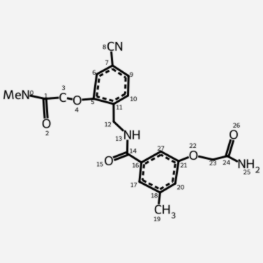 CNC(=O)COc1cc(C#N)ccc1CNC(=O)c1cc(C)cc(OCC(N)=O)c1